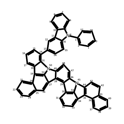 c1ccc(-n2c3ccccc3c3cc(-c4cccc5c6c7ccccc7cc7c8c9c%10cccc%11c%12c%13ccccc%13ccc%12n(c9ccc8n(c45)c76)c%11%10)ccc32)cc1